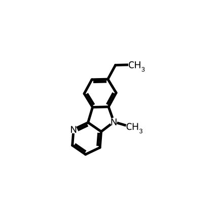 CCc1ccc2c3ncccc3n(C)c2c1